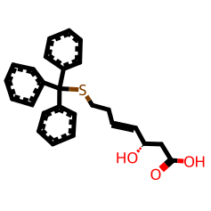 O=C(O)C[C@H](O)C=CCCSC(c1ccccc1)(c1ccccc1)c1ccccc1